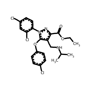 CCOC(=O)c1nn(-c2ccc(Cl)cc2Cl)c(Oc2ccc(Cl)cc2)c1CNC(C)C